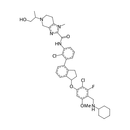 COc1cc(OC2CCc3c(-c4cccc(NC(=O)c5nc6c(n5C)CCN(C(C)CO)C6)c4Cl)cccc32)c(Cl)c(F)c1CNC1CCCCC1